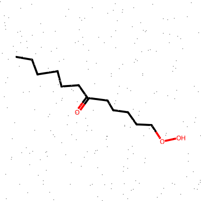 CCCCCCC(=O)CCCCCOO